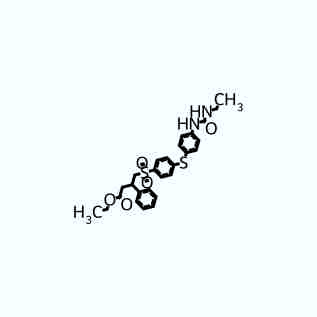 CCNC(=O)Nc1ccc(Sc2ccc(S(=O)(=O)CC(CC(=O)OCC)c3ccccc3)cc2)cc1